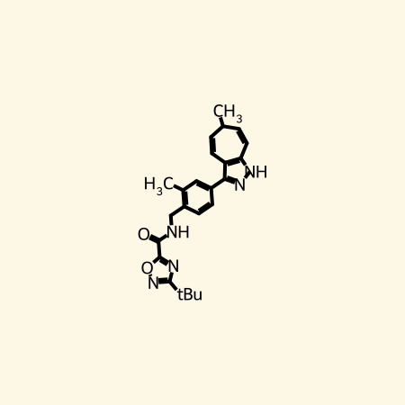 Cc1cc(-c2n[nH]c3c2C=CC(C)C=C3)ccc1CNC(=O)c1nc(C(C)(C)C)no1